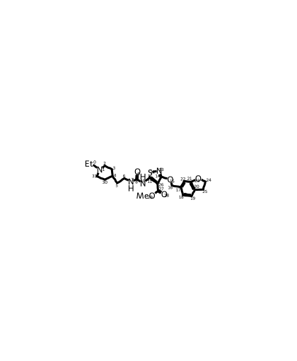 CCN1CCC(CCNC(=O)Nc2snc(OCc3ccc4c(c3)OCC4)c2C(=O)OC)CC1